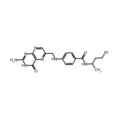 CC(=O)CCC(C)NC(=O)c1ccc(NCc2cnc3nc(N)[nH]c(=O)c3n2)cc1